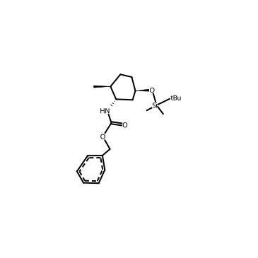 C[C@H]1CC[C@@H](O[Si](C)(C)C(C)(C)C)C[C@@H]1NC(=O)OCc1ccccc1